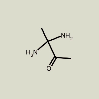 CC(=O)C(C)(N)N